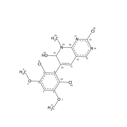 COc1cc(OC)c(Cl)c(C2=Cc3cnc(Cl)nc3N(C)C2O)c1Cl